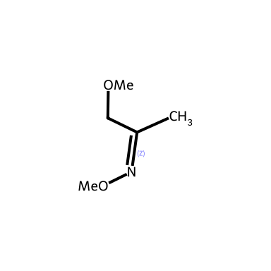 COC/C(C)=N\OC